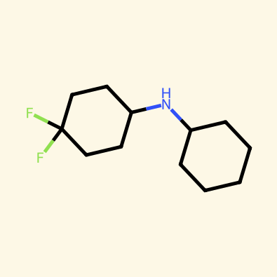 FC1(F)CCC(NC2CCCCC2)CC1